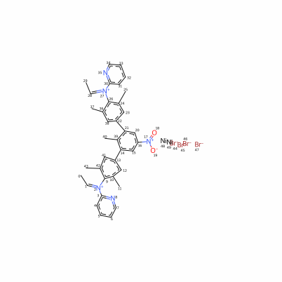 CC=[N+](c1ccccn1)c1c(C)cc(-c2cc([N+](=O)[O-])cc(-c3cc(C)c([N+](=CC)c4ccccn4)c(C)c3)c2C)cc1C.[Br-].[Br-].[Br-].[Br-].[Ni].[Ni]